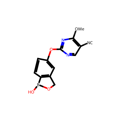 [C-]#[N+]c1cnc(Oc2ccc3c(c2)COB3O)nc1OC